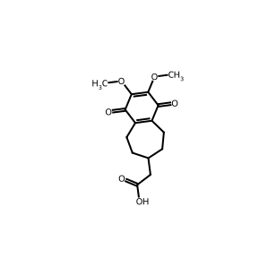 COC1=C(OC)C(=O)C2=C(CCC(CC(=O)O)CC2)C1=O